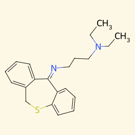 CCN(CC)CCCN=C1c2ccccc2CSc2ccccc21